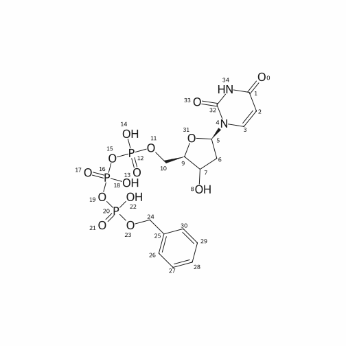 O=c1ccn([C@H]2CC(O)[C@@H](COP(=O)(O)OP(=O)(O)OP(=O)(O)OCc3ccccc3)O2)c(=O)[nH]1